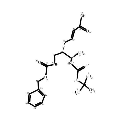 C[C@@H](NC(=O)OC(C)(C)C)[C@@H](CC=CC(=O)O)CNC(=O)OCc1ccccc1